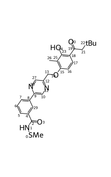 CSNC(=O)c1cccc(-c2cnc(COc3ccc(C(=O)CC(C)(C)C)c(O)c3C)cn2)c1